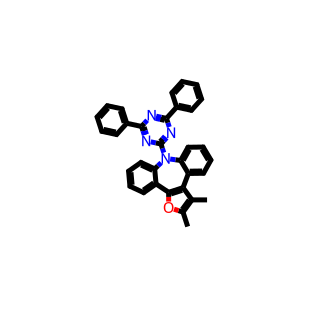 Cc1oc2c(c1C)-c1ccccc1N(c1nc(-c3ccccc3)nc(-c3ccccc3)n1)c1ccccc1-2